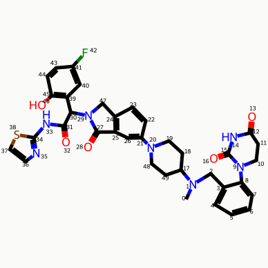 CN(Cc1ccccc1N1CCC(=O)NC1=O)C1CCN(c2ccc3c(c2)C(=O)N(C(C(=O)Nc2nccs2)c2cc(F)ccc2O)C3)CC1